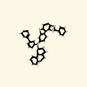 c1ccc(-c2cccc(N(c3ccc4c(c3)oc3ccc5nc(-c6ccccc6)oc5c34)c3ccc4ccc5ccccc5c4c3)c2)cc1